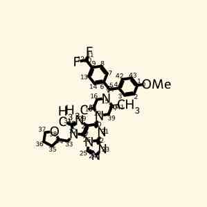 COc1ccc([C@@H](c2ccc(C(F)F)cc2)N2C[C@H](C)N(c3nc4nncn4c4c3nc(C)n4CC3CCCO3)C[C@H]2C)cc1